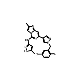 Cc1cn2c(Nc3cc(C)[nH]n3)nc(-c3cnn(Cc4cc(Cl)ccc4Cl)c3)cc2n1